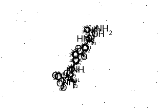 COC(=O)N[C@H](C(=O)N(Cc1ncc(-c2ccc3c(ccc4oc5cc(-c6[nH]c([C@@H]7CCCN7C(O)CN)nc6C)ccc5c(=O)c43)c2)[nH]1)C[C@@H](C)F)C1CCOCC1